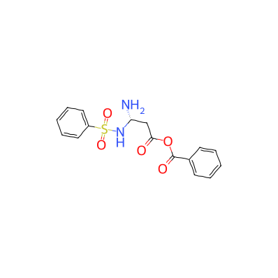 N[C@H](CC(=O)OC(=O)c1ccccc1)NS(=O)(=O)c1ccccc1